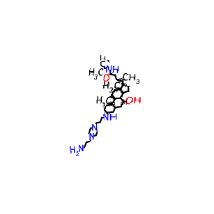 CC(C)NC(=O)CC[C@@H](C)[C@H]1CCC2C3C(CC[C@@]21C)[C@@]1(C)CC[C@H](NCCCN2CCN(CCCN)CC2)CC1C[C@H]3O